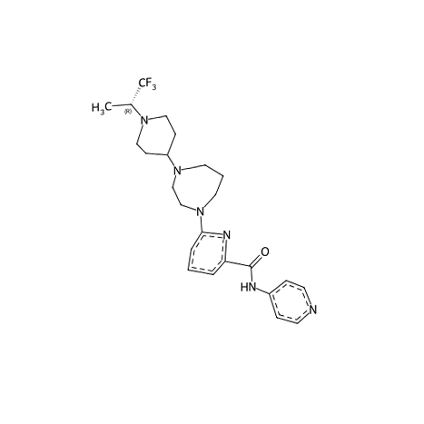 C[C@@H](N1CCC(N2CCCN(c3cccc(C(=O)Nc4ccncc4)n3)CC2)CC1)C(F)(F)F